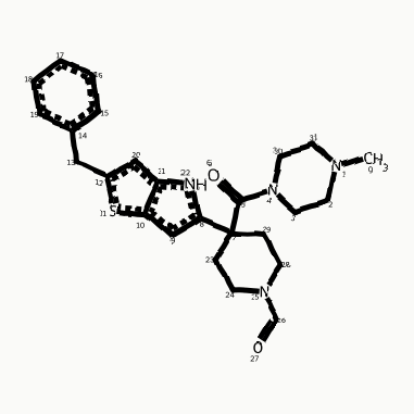 CN1CCN(C(=O)C2(c3cc4sc(Cc5ccccc5)cc4[nH]3)CCN(C=O)CC2)CC1